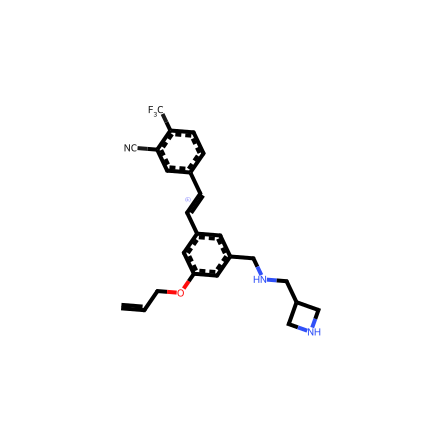 C=CCOc1cc(/C=C/c2ccc(C(F)(F)F)c(C#N)c2)cc(CNCC2CNC2)c1